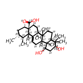 C[C@H]1[C@H](C)CC[C@]2(C(=O)O)CC[C@]3(C)C(=CC[C@@H]4[C@@]5(C)[C@H](O)C[C@H](O)C(C)(C)[C@@H]5CC[C@]43C)[C@H]12